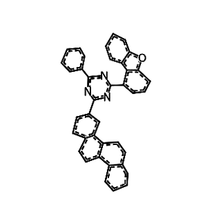 c1ccc(-c2nc(-c3ccc4ccc5c6ccccc6ccc5c4c3)nc(-c3cccc4oc5ccccc5c34)n2)cc1